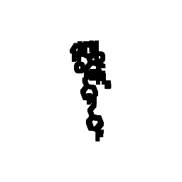 Cc1oc2c(c1C(=O)NCC1CCN(CCc3ccc(F)cc3)CC1)C1=NCCN1C=N2